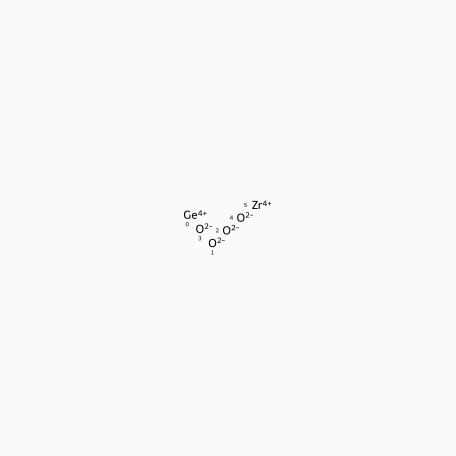 [Ge+4].[O-2].[O-2].[O-2].[O-2].[Zr+4]